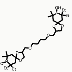 CCC1(CC)CC2(CC(C)(C)N1O)OCC(COCCCCOCC1COC3(CC(C)(C)N(O)C(CC)(CC)C3)O1)O2